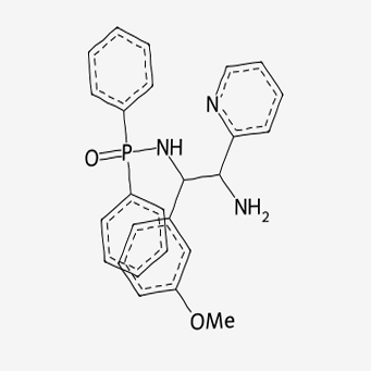 COc1cccc(C(NP(=O)(c2ccccc2)c2ccccc2)C(N)c2ccccn2)c1